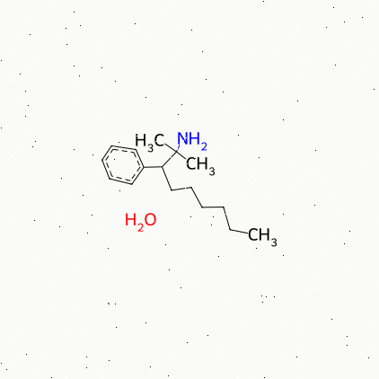 CCCCCCC(c1ccccc1)C(C)(C)N.O